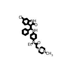 CCN(C(=O)CN1CCN(C)CC1)c1ccc(N/C(=C2\C(=O)Nc3cc(Cl)ccc32)c2ccccc2)cc1